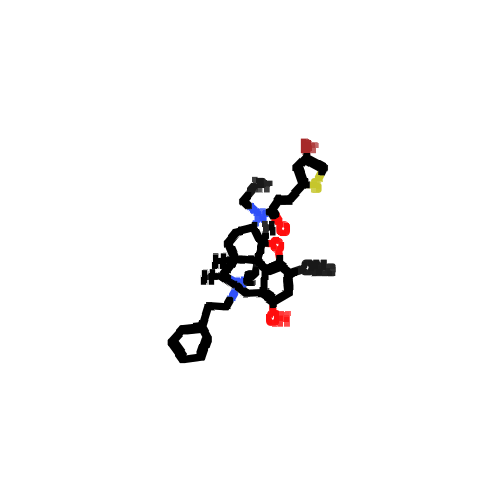 COc1cc(O)c2c3c1O[C@H]1[C@@H](N(CC(C)C)C(=O)/C=C/c4cc(Br)cs4)CC[C@H]4[C@@H](C2)N(CCc2ccccc2)CC[C@@]341